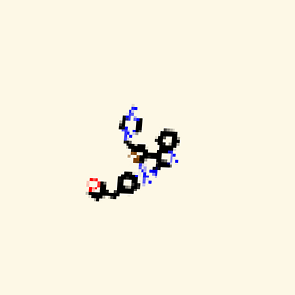 CN1CCN(Cc2cc(-c3c(C#N)cnc4ccccc34)c(Nc3ccc(Cc4ccoc4)cc3)s2)CC1